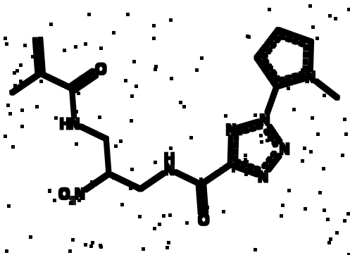 C=C(C)C(=O)NCC(CNC(=O)c1nnn(-c2cccn2C)n1)[N+](=O)[O-]